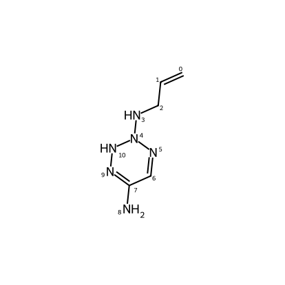 C=CCNN1N=CC(N)=NN1